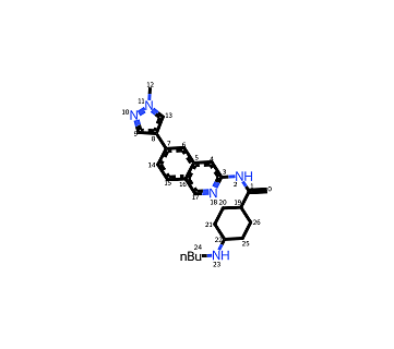 C=C(Nc1cc2cc(-c3cnn(C)c3)ccc2cn1)C1CCC(NCCCC)CC1